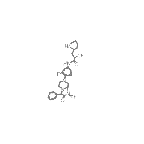 CCNC(=O)C(c1ccccc1)N1CCN(c2ccc(NC(=O)C(CC3CCCCN3)C(F)(F)F)cc2F)CC1